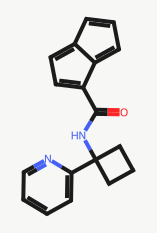 O=C(NC1(c2ccccn2)CCC1)C1=CC=C2C=CC=C21